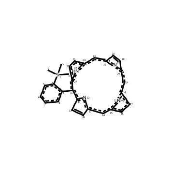 C[Si](C)(C)c1ccccc1-c1c2nc(cc3ccc(cc4nc(cc5ccc1[nH]5)C=C4)[nH]3)C=C2